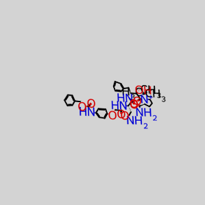 CC(C)(C)[N+]1(C(=O)[C@@H](O)[C@H](Cc2ccccc2)NC(=O)[C@H](CC(N)=O)NC(=O)COc2ccc(NC(=O)OCc3ccccc3)cc2)CCC[C@H]1C(N)=O